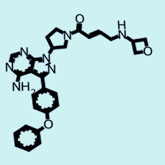 Nc1ncnc2c1c(-c1ccc(Oc3ccccc3)cc1)nn2C1CCN(C(=O)C=CCNC2COC2)C1